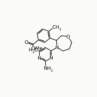 COC(=O)c1ccc(C)c(C2COCCCN2c2cc(C)nc(N)n2)c1